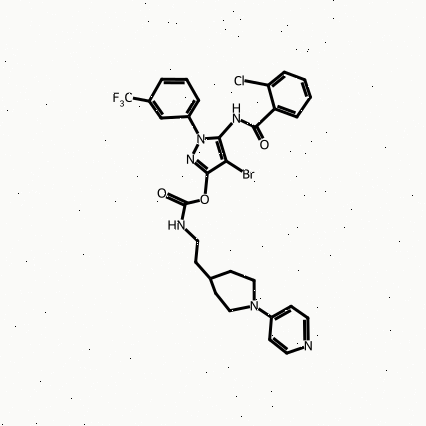 O=C(NCCC1CCN(c2ccncc2)CC1)Oc1nn(-c2cccc(C(F)(F)F)c2)c(NC(=O)c2ccccc2Cl)c1Br